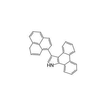 C1=Cc2c(-c3c[nH]c4c5ccccc5c5ccccc5c34)ccc3cccc(c23)C1